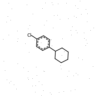 Clc1c[c]c(C2CCCCC2)cc1